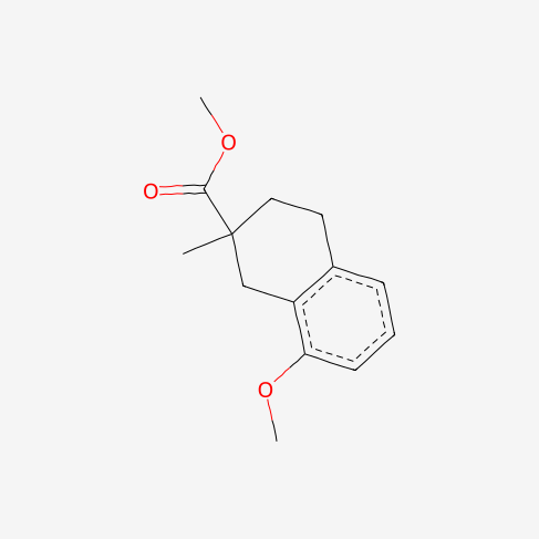 COC(=O)C1(C)CCc2cccc(OC)c2C1